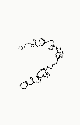 CCOC(=O)Cc1cccc(CC(=O)Nc2nnc(CCCCC3=CC=C(NC(=O)Cc4ccccc4)NN3)s2)c1